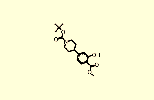 COC(=O)c1ccc(C2CCN(C(=O)OC(C)(C)C)CC2)cc1O